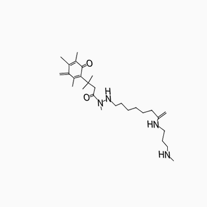 C=C(CCCCCCNN(C)C(=O)CC(C)(C)C1=C(C)C(=C)C(C)=C(C)C1=O)NCCCNC